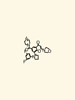 CN1CCN(C(=O)c2cc([C@H]3CCCN3c3cc(F)cc(F)c3)c3oc(N4CCOCC4)cc(=O)c3c2)CC1